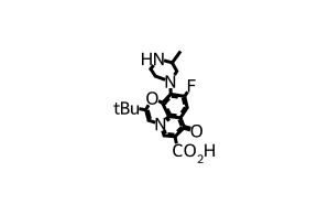 CC1CN(c2c(F)cc3c(=O)c(C(=O)O)cn4c3c2OC(C(C)(C)C)=C4)CCN1